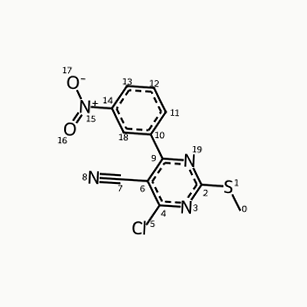 CSc1nc(Cl)c(C#N)c(-c2cccc([N+](=O)[O-])c2)n1